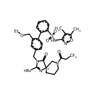 CCCCC1=N[C@]2(CCCN(C(=O)CC(F)(F)F)C2)C(=O)N1Cc1ccc(-c2ccccc2S(=O)(=O)Nc2noc(C)c2C)c(COCC)c1